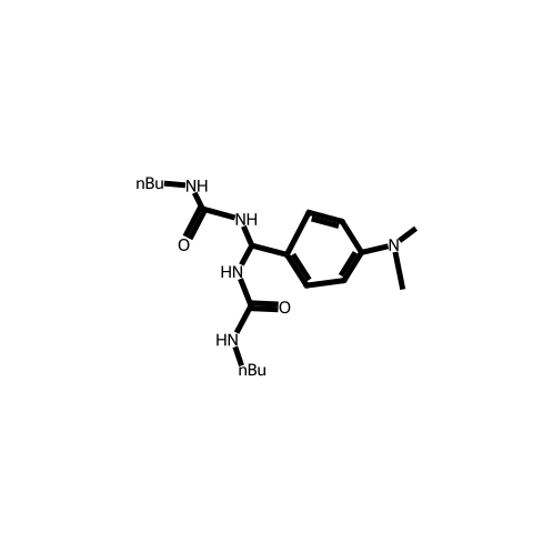 CCCCNC(=O)NC(NC(=O)NCCCC)c1ccc(N(C)C)cc1